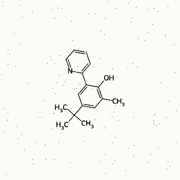 Cc1cc(C(C)(C)C)cc(-c2ccccn2)c1O